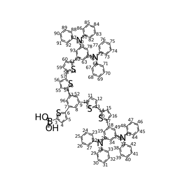 OB(O)c1ccc(-c2cc(-c3ccc(-c4ccc(-c5cc(N(c6ccccc6)c6ccccc6)cc(N(c6ccccc6)c6ccccc6)c5)s4)s3)cc(-c3ccc(-c4ccc(-c5cc(N(c6ccccc6)c6ccccc6)cc(N(c6ccccc6)c6ccccc6)c5)s4)s3)c2)s1